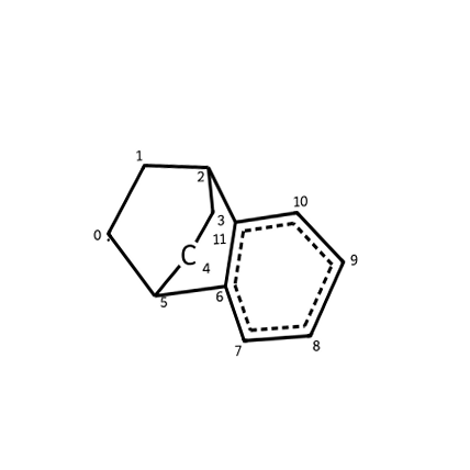 [CH]1CC2CCC1c1ccccc12